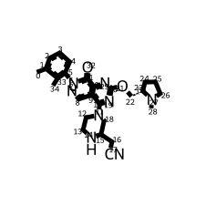 Cc1cccc(-n2ncc3c(N4CCNC(CC#N)C4)nc(OC[C@@H]4CCCN4C)nc3c2=O)c1C